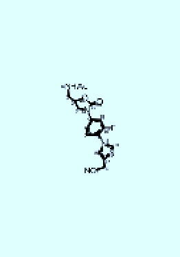 CC(=O)NCC1CN(c2ccc(-n3cnc(CC#N)c3)c(F)c2)C(=O)O1